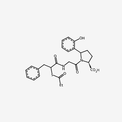 CCC(=O)SC(Cc1ccccc1)C(=O)NCC(=O)N1C(c2ccccc2O)CC[C@H]1C(=O)O